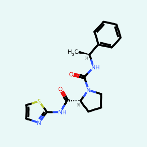 C[C@H](NC(=O)N1CCC[C@@H]1C(=O)Nc1nccs1)c1ccccc1